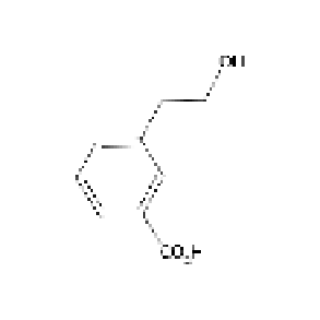 O=C(O)c1cccc(CCO)c1